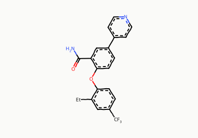 CCc1cc(C(F)(F)F)ccc1Oc1ccc(-c2ccncc2)cc1C(N)=O